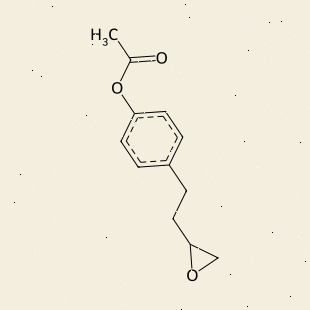 CC(=O)Oc1ccc(CCC2CO2)cc1